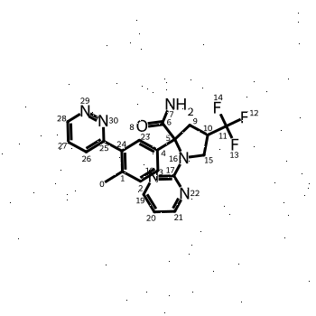 Cc1ccc(C2(C(N)=O)CC(C(F)(F)F)CN2c2ncccn2)cc1-c1cccnn1